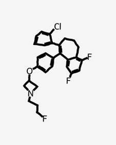 FCCCN1CC(Oc2ccc(C3=C(c4ccccc4Cl)CCCc4c(F)cc(F)cc43)cc2)C1